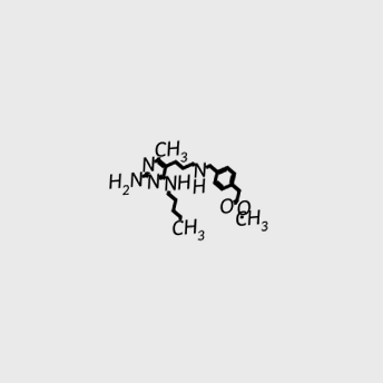 CCCCCNc1nc(N)nc(C)c1CCCNCc1ccc(CC(=O)OC)cc1